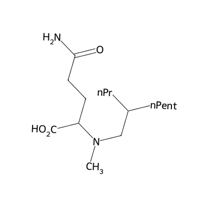 CCCCCC(CCC)CN(C)C(CCC(N)=O)C(=O)O